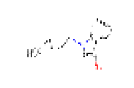 CCOC(=O)CCCn1cc(O)c2ccccc21